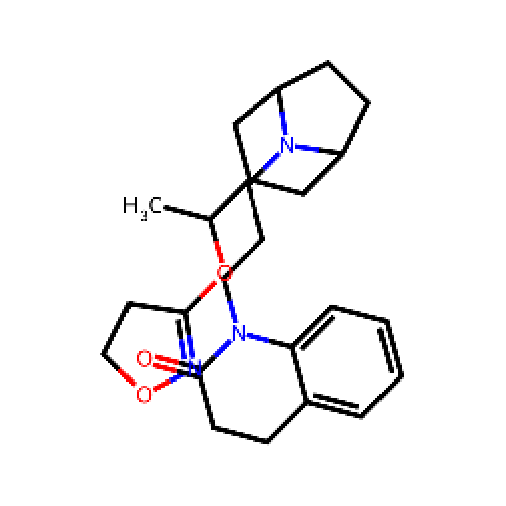 CC(OC1=NOCC1)C1CC2CCC(C1)N2CCCN1C(=O)CCc2ccccc21